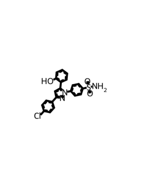 NS(=O)(=O)c1ccc(-n2nc(-c3ccc(Cl)cc3)cc2-c2ccccc2O)cc1